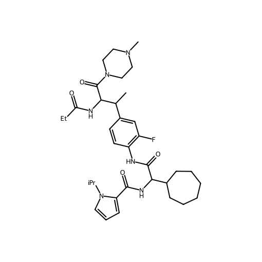 CCC(=O)NC(C(=O)N1CCN(C)CC1)C(C)c1ccc(NC(=O)C(NC(=O)c2cccn2C(C)C)C2CCCCCC2)c(F)c1